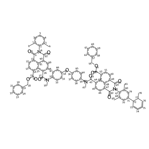 Cc1cccc(C)c1N1C(=O)c2ccc(C(=O)OCc3ccccc3)c3c(C(=O)N(C)c4ccc(Oc5ccc(N(C)C(=O)c6ccc7c8c(ccc(C(=O)OCc9ccccc9)c68)C(=O)N(c6c(C)cc(C8C=C=C=CC8C)cc6C)C7=O)cc5)cc4)ccc(c23)C1=O